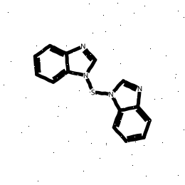 c1ccc2c(c1)ncn2Sn1cnc2ccccc21